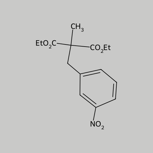 CCOC(=O)C(C)(Cc1cccc([N+](=O)[O-])c1)C(=O)OCC